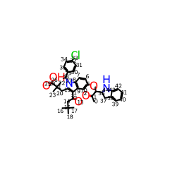 CC(=O)[C@@H](Oc1ccc2c(c1)c(C(=O)CC(C)(C)C)c(CC(C)(C)C(=O)O)n2Cc1ccc(Cl)cc1)C1Cc2ccccc2N1